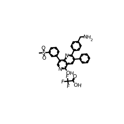 CS(=O)(=O)c1cccc(-c2cnc(O)c3cc(-c4ccccc4)c(-c4ccc(CN)cc4)nc23)c1.O=C(O)C(F)(F)F